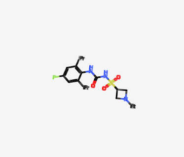 CCN1CC(S(=O)(=O)NC(=O)Nc2c(C(C)C)cc(F)cc2C(C)C)C1